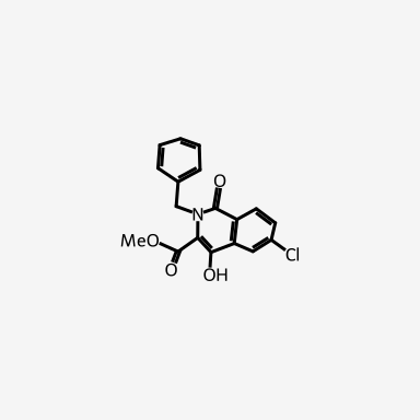 COC(=O)c1c(O)c2cc(Cl)ccc2c(=O)n1Cc1ccccc1